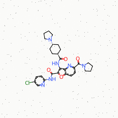 O=C(Nc1ccc(Cl)cn1)c1oc2ccc(C(=O)N3CCCC3)nc2c1NC(=O)[C@H]1CC[C@H](N2CCCC2)CC1